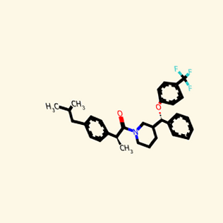 CC(C)Cc1ccc([C@H](C)C(=O)N2CCCC([C@H](Oc3ccc(C(F)(F)F)cc3)c3ccccc3)C2)cc1